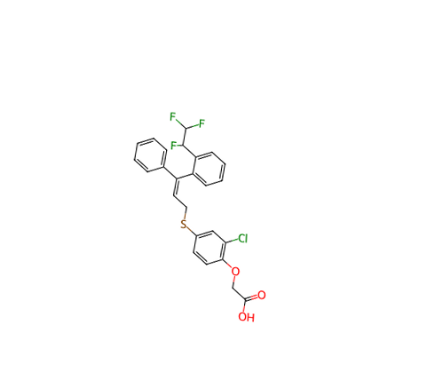 O=C(O)COc1ccc(SCC=C(c2ccccc2)c2ccccc2C(F)C(F)F)cc1Cl